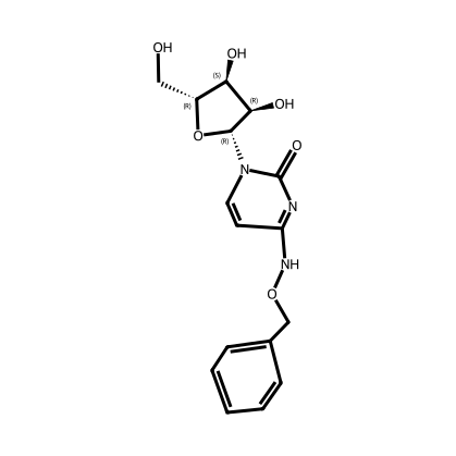 O=c1nc(NOCc2ccccc2)ccn1[C@@H]1O[C@H](CO)[C@@H](O)[C@H]1O